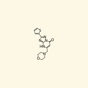 O=c1cc(CN2CCOCC2)[nH]c2nc(-c3cccs3)nn12